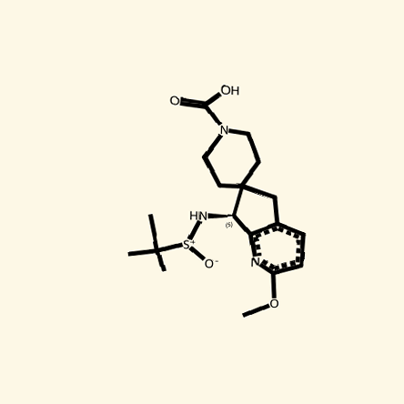 COc1ccc2c(n1)[C@@H](N[S+]([O-])C(C)(C)C)C1(CCN(C(=O)O)CC1)C2